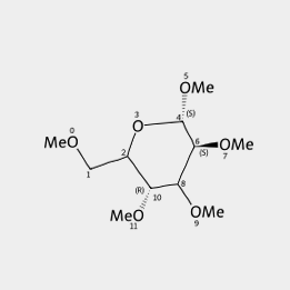 COCC1O[C@H](OC)[C@@H](OC)C(OC)[C@@H]1OC